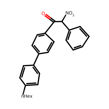 CCCCCCc1ccc(-c2ccc(C(=O)C(c3ccccc3)[N+](=O)[O-])cc2)cc1